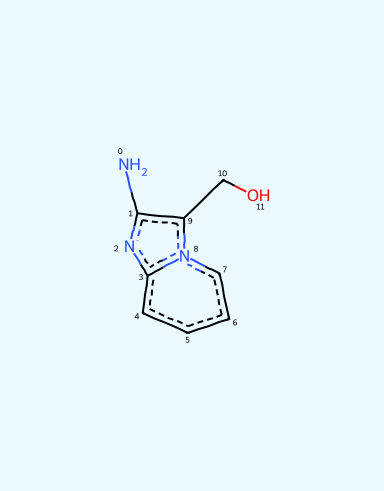 Nc1nc2ccccn2c1CO